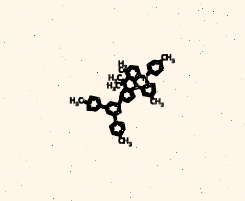 Cc1ccc(-c2cc(-c3ccc(C)cc3)cc(-c3ccc4c(c3)C(C)(C)c3c(C)ccc5c3B4c3cc(C)ccc3N5c3ccc(C)cc3)c2)cc1